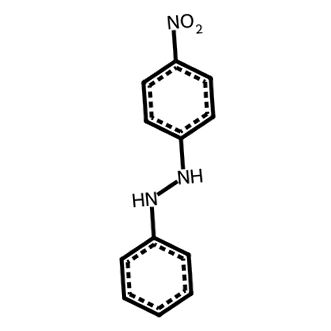 O=[N+]([O-])c1ccc(NNc2ccccc2)cc1